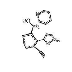 C#Cc1cccc(C(=O)O)c1-c1cc[nH]n1.c1ccncc1